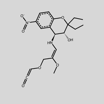 CCC1(CC)Oc2ccc([N+](=O)[O-])cc2[C@H](N/C=C(\COC=C=O)OC)[C@H]1O